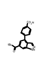 CC(C)(C)C(=O)c1cc(-c2ccc(C(=O)O)cc2)c2cn[nH]c2c1